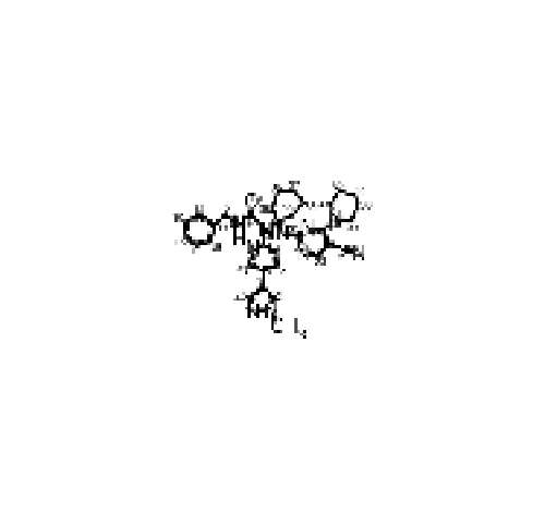 Cn1cc(-c2ccc(N(C(=O)NCc3ccccc3)C3(Nc4ncc(C#N)c(N5CCCCC5)n4)CCCCC3)nc2)cn1